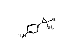 CC[C@]1(N)C[C@@H]1c1ccc(N)cc1